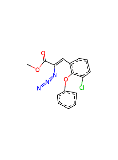 COC(=O)/C(=C/c1cccc(Cl)c1Oc1ccccc1)N=[N+]=[N-]